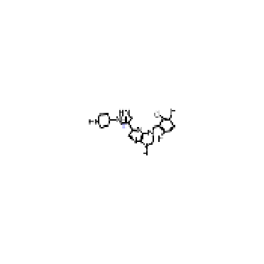 N=C/C(=C\NC1CCNCC1)c1cnc2c(n1)N(Cc1c(F)ccc(F)c1Cl)CCN2